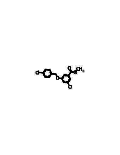 COC(=O)c1cc(Cl)cc(OCc2ccc(Cl)cc2)c1